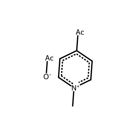 CC(=O)[O-].CC(=O)c1cc[n+](C)cc1